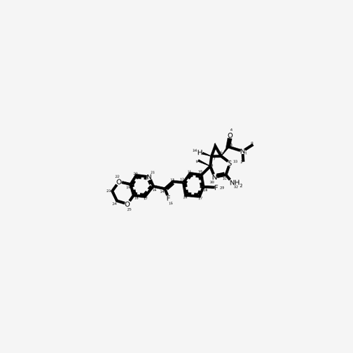 CN(C)C(=O)[C@]12C[C@H]1[C@@](C)(c1cc(/C=C(\F)c3cc4c(cn3)OCCO4)ccc1F)N=C(N)S2